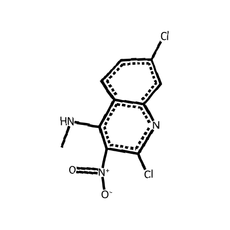 CNc1c([N+](=O)[O-])c(Cl)nc2cc(Cl)ccc12